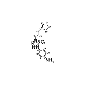 Nc1ccc(-n2nnn(CCCC3CCCC3)c2=O)cc1